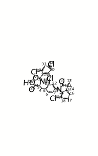 O=C(N[C@@H](Cc1ccc(N2C(=O)C3(CC3)c3cccc(Cl)c32)cc1)C(=O)O)c1c(Cl)cc(Cl)cc1Cl